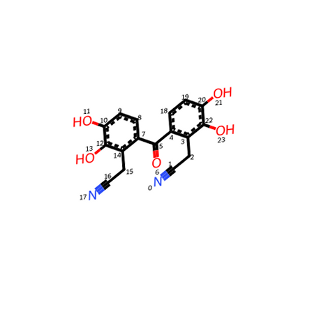 N#CCc1c(C(=O)c2ccc(O)c(O)c2CC#N)ccc(O)c1O